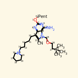 CCC[C@H](C)Oc1nc(N)c2c(n1)c(CCCCCN1CCCCC1)c(C#N)n2COCC[Si](C)(C)C